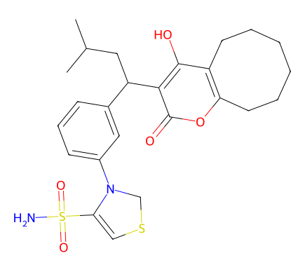 CC(C)CC(c1cccc(N2CSC=C2S(N)(=O)=O)c1)c1c(O)c2c(oc1=O)CCCCCC2